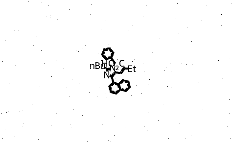 CCCCc1nc(-c2cccc3ccccc23)c(C=C(CC)C(=O)O)n1Cc1ccccc1